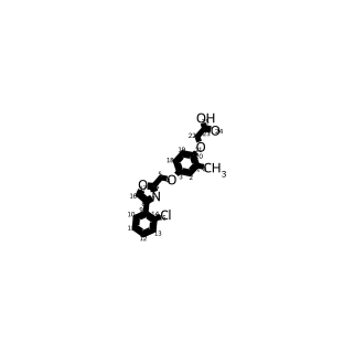 Cc1cc(OCc2nc(-c3ccccc3Cl)co2)ccc1OCC(=O)O